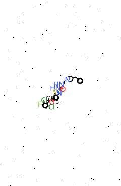 CC(Oc1ccc2nc(NC(=O)NCCN3CCC(Cc4ccccc4)CC3)sc2c1)c1c(Cl)ccc(F)c1Cl